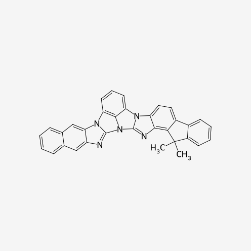 CC1(C)c2ccccc2-c2ccc3c(nc4n3c3cccc5c3n4c3nc4cc6ccccc6cc4n53)c21